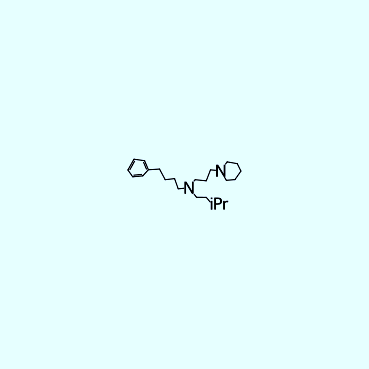 CC(C)CCN(CCCCc1ccccc1)CCCN1CCCCC1